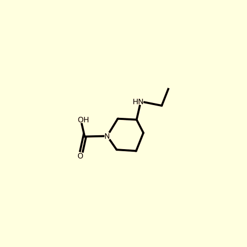 CCNC1CCCN(C(=O)O)C1